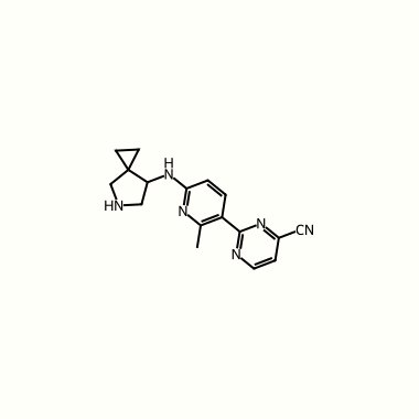 Cc1nc(NC2CNCC23CC3)ccc1-c1nccc(C#N)n1